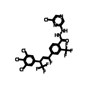 O=C(NNc1cncc(Cl)n1)c1ccc(C(F)=CC(c2cc(Cl)c(Cl)c(Cl)c2)C(F)(F)F)cc1C(F)(F)F